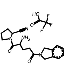 N#CC1CCCN1C(=O)C(N)CCC(=O)N1Cc2ccccc2C1.O=C(O)C(F)(F)F